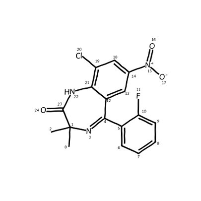 CC1(C)N=C(c2ccccc2F)c2cc([N+](=O)[O-])cc(Cl)c2NC1=O